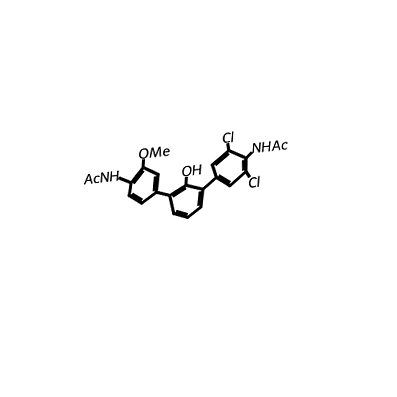 COc1cc(-c2cccc(-c3cc(Cl)c(NC(C)=O)c(Cl)c3)c2O)ccc1NC(C)=O